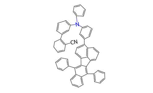 N#CC1=C(c2cccc(N(c3ccccc3)c3cccc(-c4ccc5c6c(cccc46)-c4c-5c(-c5ccccc5)c5ccccc5c4-c4ccccc4)c3)c2)CCC=C1